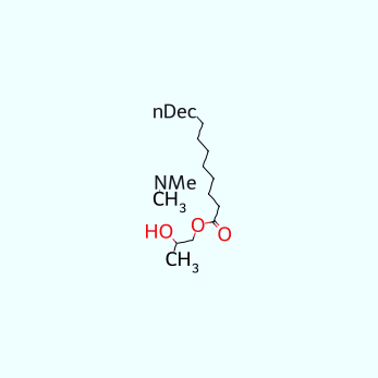 CCCCCCCCCCCCCCCCCC(=O)OCC(C)O.CNC